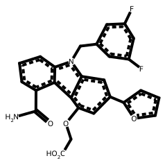 NC(=O)c1cccc2c1c1c(OCC(=O)O)cc(-c3ccco3)cc1n2Cc1cc(F)cc(F)c1